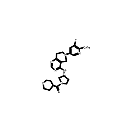 COc1ncc(N2CCc3ncnc(N[C@H]4CCN(C(=O)C5CCOCC5)C4)c3C2)cc1Cl